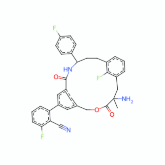 CC1(N)Cc2cccc(c2F)CCC(c2ccc(F)cc2)NC(=O)c2cc(cc(-c3cccc(F)c3C#N)c2)COC1=O